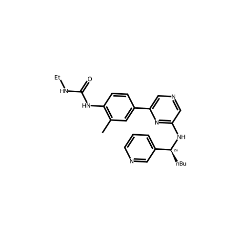 CCCC[C@H](Nc1cncc(-c2ccc(NC(=O)NCC)c(C)c2)n1)c1cccnc1